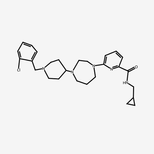 O=C(NCC1CC1)c1cccc(N2CCCN(C3CCN(Cc4ccccc4Cl)CC3)CC2)n1